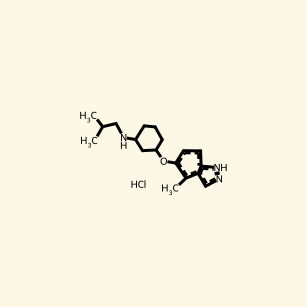 Cc1c(OC2CCCC(NCC(C)C)C2)ccc2[nH]ncc12.Cl